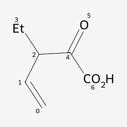 C=CC(CC)C(=O)C(=O)O